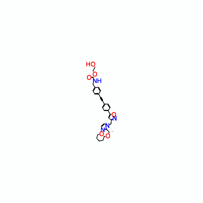 C[C@H](OC1CCCCO1)c1nccn1Cc1cc(-c2ccc(C#Cc3ccc(CNC(=O)OCCO)cc3)cc2)on1